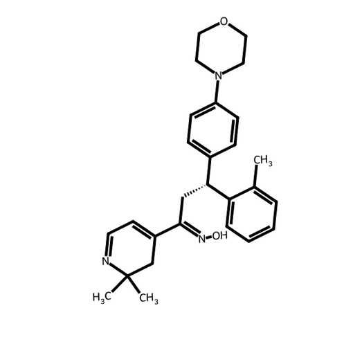 Cc1ccccc1[C@H](C/C(=N\O)C1=CC=NC(C)(C)C1)c1ccc(N2CCOCC2)cc1